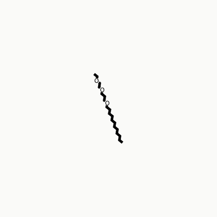 CCCCCCCCCCCCOCCCOCCOCC